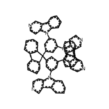 c1ccc2c(c1)-c1ccccc1C2(c1cc(-n2c3ccccc3c3cnccc32)cc(-n2c3ccccc3c3cnccc32)c1)c1cc(-n2c3ccccc3c3cnccc32)cc(-n2c3ccccc3c3cnccc32)c1